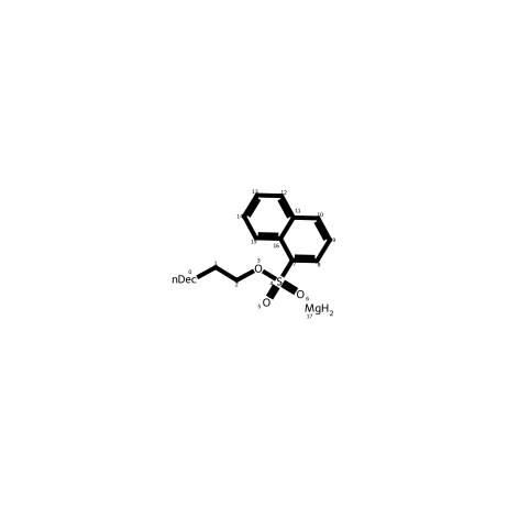 CCCCCCCCCCCCOS(=O)(=O)c1cccc2ccccc12.[MgH2]